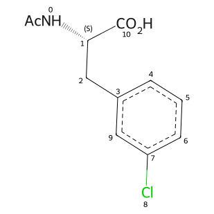 CC(=O)N[C@@H](Cc1cccc(Cl)c1)C(=O)O